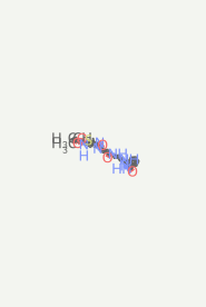 CC(C)(C)OC(=O)Nc1cc(-c2noc(CCC(=O)NCCCNc3n[nH]c(=O)c4ccccc34)n2)cs1